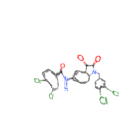 O=C(Nc1ccc2c(c1)C(=O)C(=O)N2Cc1ccc(Cl)c(Cl)c1)c1ccc(Cl)c(Cl)c1